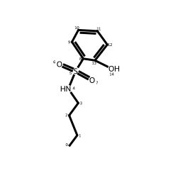 CCCCNS(=O)(=O)c1ccccc1O